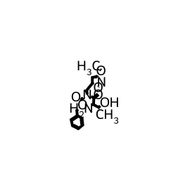 COC1=NOC(CN(C(=O)OCc2ccccc2)C(=O)[C@@H](N)[C@@H](C)O)C1